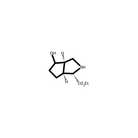 CCOC(=O)[C@H]1NC[C@@H]2C(O)CC[C@H]12